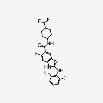 O=C(NC1CCC(C(F)F)CC1)c1cc2nc(Nc3c(Cl)cccc3Cl)[nH]c2cc1F